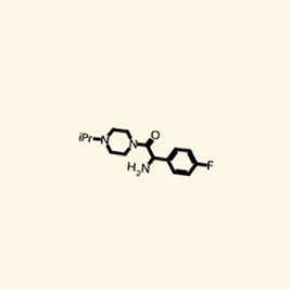 CC(C)N1CCN(C(=O)C(N)c2ccc(F)cc2)CC1